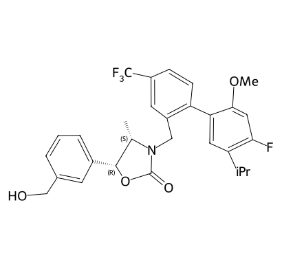 COc1cc(F)c(C(C)C)cc1-c1ccc(C(F)(F)F)cc1CN1C(=O)O[C@H](c2cccc(CO)c2)[C@@H]1C